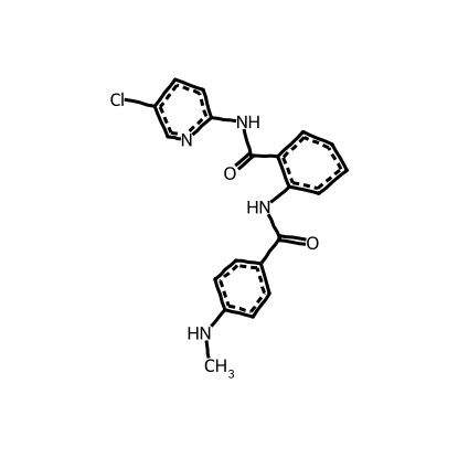 CNc1ccc(C(=O)Nc2ccccc2C(=O)Nc2ccc(Cl)cn2)cc1